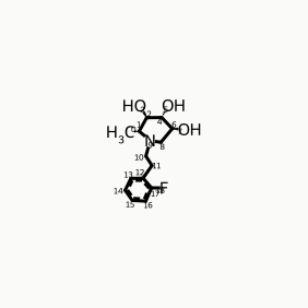 C[C@@H]1[C@@H](O)[C@H](O)[C@@H](O)CN1CCc1ccccc1F